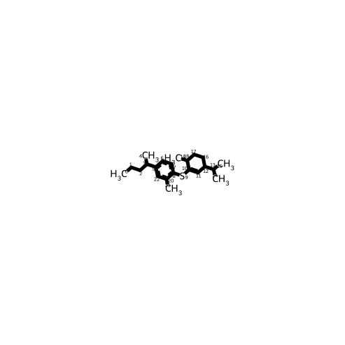 CCCC(C)c1ccc(SC2=CC(C(C)C)CCC2C)c(C)c1